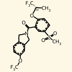 C[C@H](Oc1ccc(S(C)(=O)=O)cc1C(=O)N1Cc2ccc(OC(F)(F)F)cc2C1)C(F)(F)F